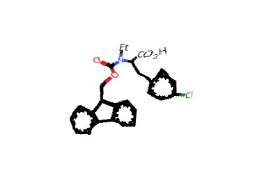 CCN(C(=O)OCC1c2ccccc2-c2ccccc21)C(Cc1ccc(Cl)cc1)C(=O)O